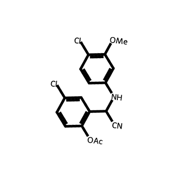 COc1cc(NC(C#N)c2cc(Cl)ccc2OC(C)=O)ccc1Cl